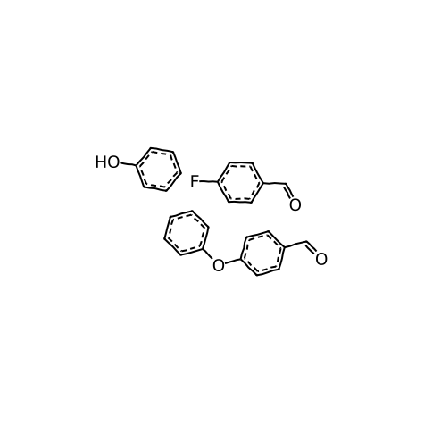 O=Cc1ccc(F)cc1.O=Cc1ccc(Oc2ccccc2)cc1.Oc1ccccc1